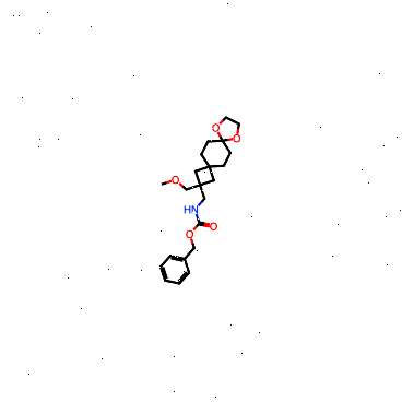 COCC1(CNC(=O)OCc2ccccc2)CC2(CCC3(CC2)OCCO3)C1